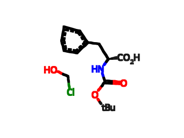 CC(C)(C)OC(=O)N[C@@H](Cc1ccccc1)C(=O)O.OCCl